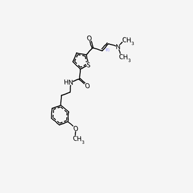 COc1cccc(CCNC(=O)c2ccc(C(=O)/C=C/N(C)C)s2)c1